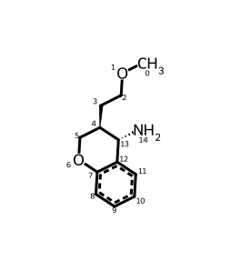 COCC[C@@H]1COc2ccccc2[C@H]1N